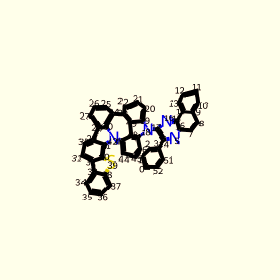 c1ccc(-c2nc3ccc4ccccc4c3nc2-n2c3cccc4c5cccc6c7ccc8c9ccccc9sc8c7n(c7cccc2c7c43)c56)cc1